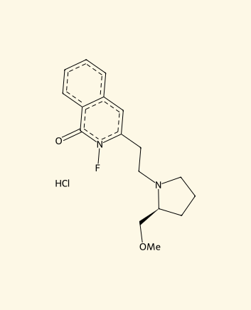 COC[C@@H]1CCCN1CCc1cc2ccccc2c(=O)n1F.Cl